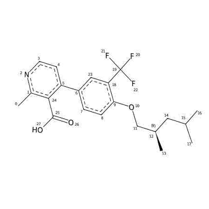 Cc1nccc(-c2ccc(OC[C@H](C)CC(C)C)c(C(F)(F)F)c2)c1C(=O)O